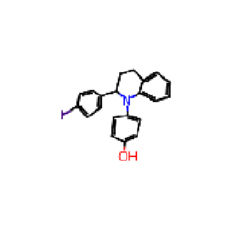 Oc1ccc(N2c3ccccc3CCC2c2ccc(I)cc2)cc1